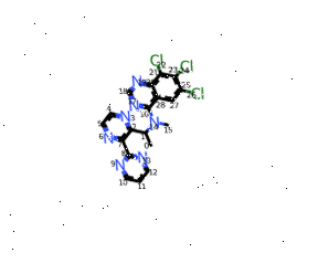 CC(c1nccnc1-c1ncccn1)N(C)c1ncnc2c(Cl)c(Cl)c(Cl)cc12